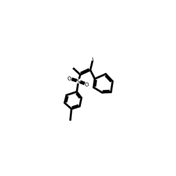 C/C(=C(\I)c1ccccc1)S(=O)(=O)c1ccc(C)cc1